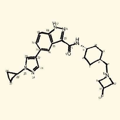 O=C(N[C@H]1CC[C@H](CN2CC(F)C2)CC1)c1n[nH]c2ccc(-c3cnn(C4CC4)c3)cc12